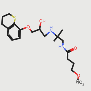 CC(C)(CNC(=O)CCCO[N+](=O)[O-])NCC(O)COc1cccc2c1SCCC2